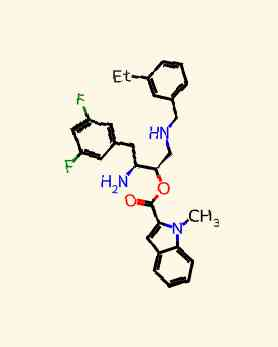 CCc1cccc(CNC[C@@H](OC(=O)c2cc3ccccc3n2C)[C@@H](N)Cc2cc(F)cc(F)c2)c1